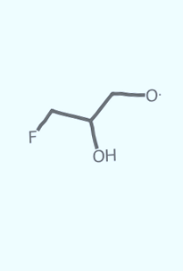 [O]CC(O)CF